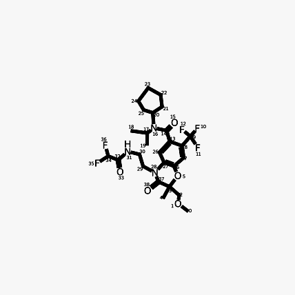 COCC1(C)Oc2cc(C(F)(F)F)c(C(=O)N(C(C)C)C3CCCCC3)cc2N(CCNC(=O)C(F)F)C1=O